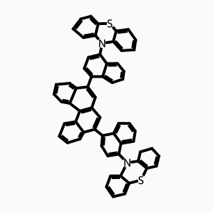 C1=CC2=C(CC1)N(c1ccc(-c3cc4cc(-c5ccc(N6c7ccccc7Sc7ccccc76)c6ccccc56)c5ccccc5c4c4ccccc34)c3ccccc13)c1ccccc1S2